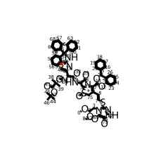 COC(Cn1c(SC=CC2=C(C(=O)OC(c3ccccc3)c3ccccc3)N3C(=O)C(NC(=O)C(=NOC(C)(C)C(=O)OC(C)(C)C)c4csc(NC(c5ccccc5)(c5ccccc5)c5ccccc5)n4)C3[S+]([O-])C2)n[nH]c(=O)c1=O)OC